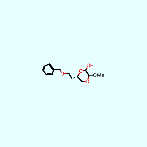 CO[C@H]1OC[C@H](CCOCc2ccccc2)OC1O